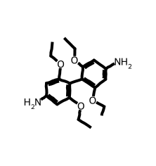 CCOc1cc(N)cc(OCC)c1-c1c(OCC)cc(N)cc1OCC